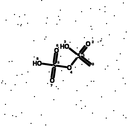 C=S(=O)(O)OS(=O)(=O)O